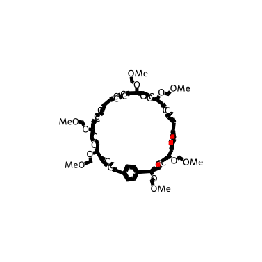 COCOC12CCC(OCOC)(CC1)c1ccc(cc1)-c1ccc(cc1)C1(OCOC)CCC(OCOC)(CC1)c1ccc(cc1)-c1ccc(cc1)C1(OCOC)CCC(OCOC)(CC1)c1ccc(cc1)-c1ccc2cc1